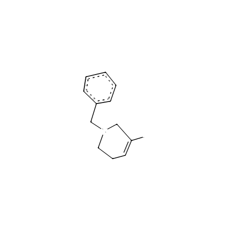 FC1=CCCN(Cc2ccccc2)C1